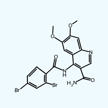 COc1cc2ncc(C(N)=O)c(NC(=O)c3ccc(Br)cc3Br)c2cc1OC